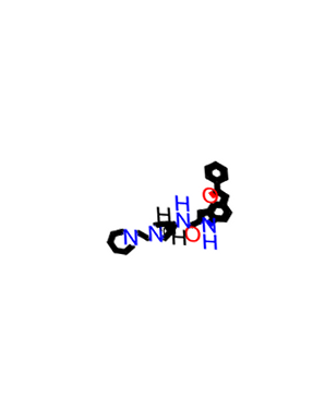 O=C(NC1[C@H]2CN(CCN3CCCCCC3)C[C@@H]12)c1cc2c(ccc3cc(-c4ccccc4)oc32)[nH]1